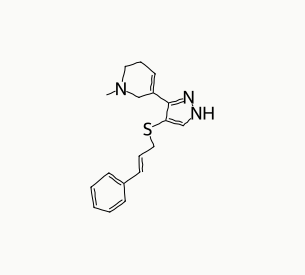 CN1CCC=C(c2n[nH]cc2SC/C=C/c2ccccc2)C1